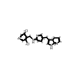 Clc1cncc(Cl)c1CNc1ccc(CC2=CNC3=NC=CCC23)cn1